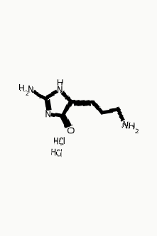 Cl.Cl.NCCC=C1NC(N)=NC1=O